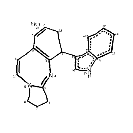 C1=CC2=C(N=C3CCCN3C=C2)C(c2c[nH]c3ccccc23)C1.Cl